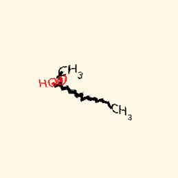 CCCCCCCCCCCCCCCCC(CO)OCC